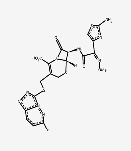 CO/N=C(\C(=O)N[C@@H]1C(=O)N2C(C(=O)O)=C(CSc3nnc4ccc(F)nn34)CS[C@@H]12)c1csc(N)n1